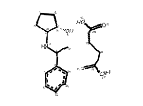 CC(N[C@H]1CCC[C@@H]1O)c1ccccc1.O=C(O)CCC(=O)O